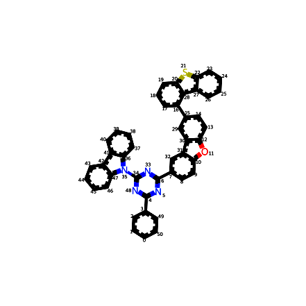 c1ccc(-c2nc(-c3ccc4oc5ccc(-c6cccc7sc8ccccc8c67)cc5c4c3)nc(-n3c4ccccc4c4ccccc43)n2)cc1